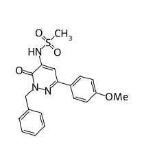 COc1ccc(-c2cc(NS(C)(=O)=O)c(=O)n(Cc3ccccc3)n2)cc1